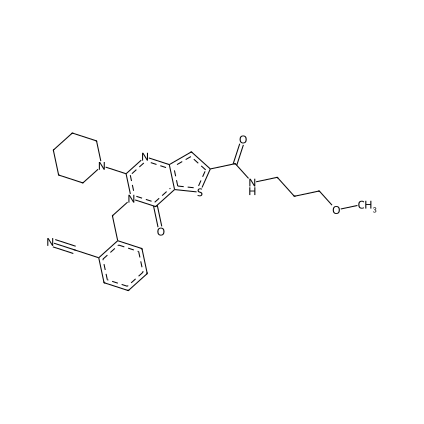 COCCCNC(=O)c1cc2nc(N3CCCCC3)n(Cc3ccccc3C#N)c(=O)c2s1